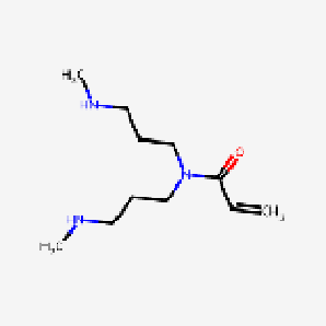 C=CC(=O)N(CCCNC)CCCNC